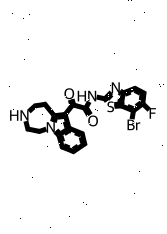 O=C(Nc1nc2ccc(F)c(Br)c2s1)C(=O)c1c2n(c3ccccc13)CCNCC2